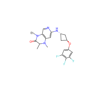 CCN1C(=O)C(C)N(C)c2cc(N[C@H]3C[C@H](Oc4cc(F)c(F)c(F)c4)C3)ncc21